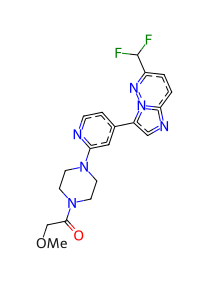 COCC(=O)N1CCN(c2cc(-c3cnc4ccc(C(F)F)nn34)ccn2)CC1